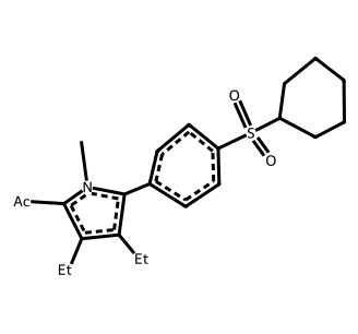 CCc1c(CC)c(-c2ccc(S(=O)(=O)C3CCCCC3)cc2)n(C)c1C(C)=O